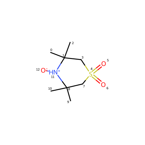 CC1(C)CS(=O)(=O)CC(C)(C)[NH+]1[O-]